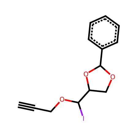 C#CCOC(I)C1COC(c2ccccc2)O1